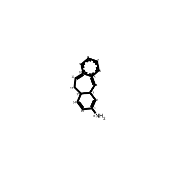 NC1=CC2C=c3ccccc3=CCC2C=C1